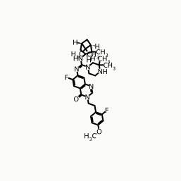 COc1ccc(CCn2cnc3cc(N=C(N[C@H]4C[C@@H]5C[C@@H]([C@H]4C)C5(C)C)N4CCNC(C)(C)C4)c(F)cc3c2=O)c(F)c1